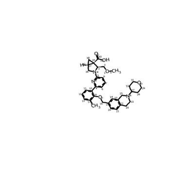 COC[C@H]1N(c2cccc(-c3cccc(C)c3OCc3ccc4c(c3)CN(C3CCOCC3)CC4)n2)C[C@@H]2C[C@@]21C(=O)O